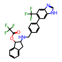 O=C(OC1c2ccccc2CC1NCc1ccc(-c2cc3[nH]cnc3cc2C(F)(F)F)cc1)C(F)(F)F